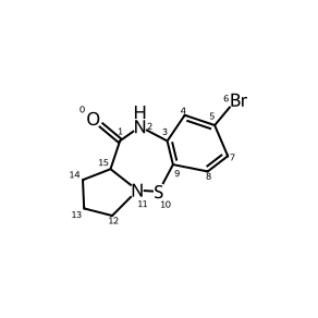 O=C1Nc2cc(Br)ccc2SN2CCCC12